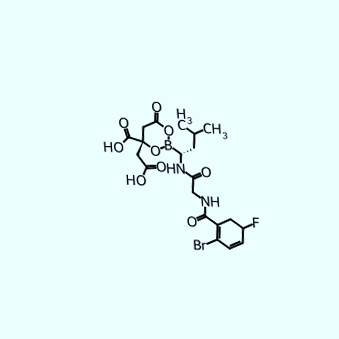 CC(C)C[C@H](NC(=O)CNC(=O)C1=C(Br)C=CC(F)C1)B1OC(=O)C[C@@](CC(=O)O)(C(=O)O)O1